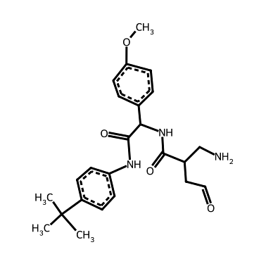 COc1ccc(C(NC(=O)C(CN)CC=O)C(=O)Nc2ccc(C(C)(C)C)cc2)cc1